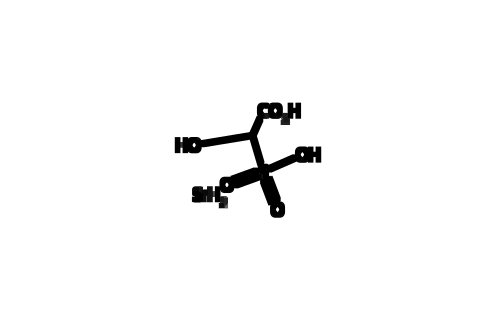 O=C(O)C(O)S(=O)(=O)O.[SrH2]